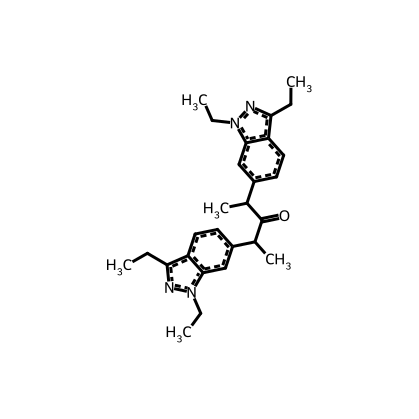 CCc1nn(CC)c2cc(C(C)C(=O)C(C)c3ccc4c(CC)nn(CC)c4c3)ccc12